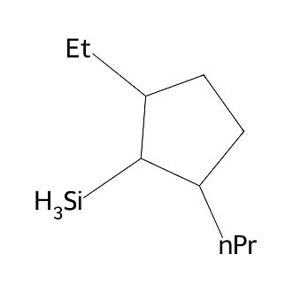 CCCC1CCC(CC)C1[SiH3]